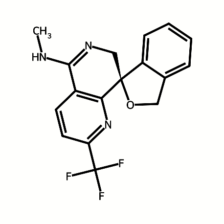 CNC1=NC[C@@]2(OCc3ccccc32)c2nc(C(F)(F)F)ccc21